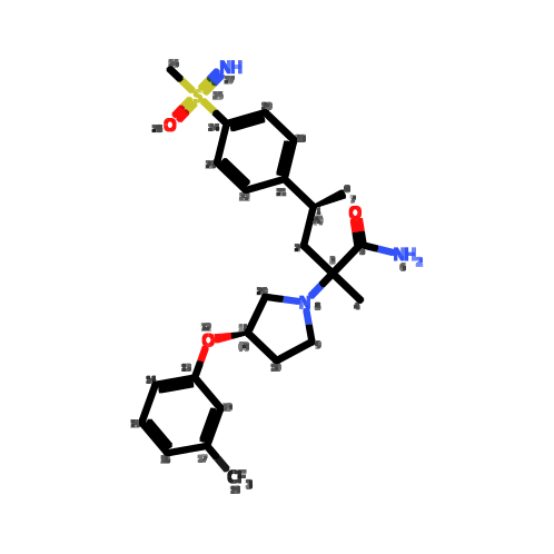 C[C@@H](CC(C)(C(N)=O)N1CC[C@@H](Oc2cccc(C(F)(F)F)c2)C1)c1ccc(S(C)(=N)=O)cc1